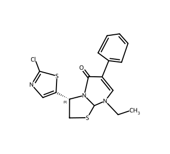 CCN1C=C(c2ccccc2)C(=O)N2C1SC[C@@H]2c1cnc(Cl)s1